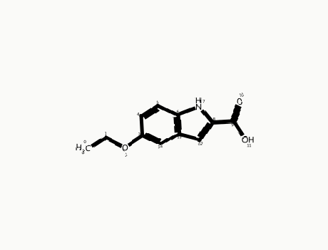 CCOc1ccc2[nH]c(C(=O)O)cc2c1